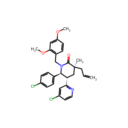 C=CC[C@@]1(C)C[C@H](c2cc(Cl)ccn2)[C@@H](c2ccc(Cl)cc2)N(Cc2ccc(OC)cc2OC)C1=O